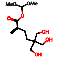 C=C(CCC(CO)(CO)CO)C(=O)OC(OC)OC